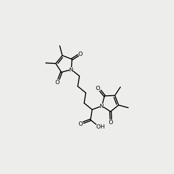 CC1=C(C)C(=O)N(CCCCC(C(=O)O)N2C(=O)C(C)=C(C)C2=O)C1=O